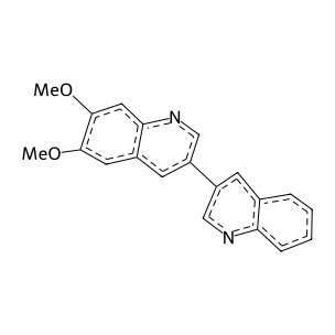 COc1cc2cc(-c3cnc4ccccc4c3)cnc2cc1OC